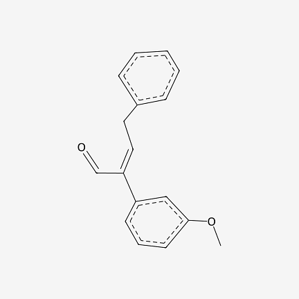 COc1cccc(C(C=O)=CCc2ccccc2)c1